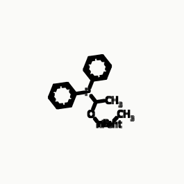 CCCCC.CCCCCOC(C)P(c1ccccc1)c1ccccc1